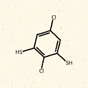 Sc1cc(Cl)cc(S)c1Cl